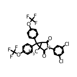 CC12C(=O)N(c3cc(Cl)cc(Cl)c3)C(=O)C1C2(c1ccc(OC(F)(F)F)cc1)c1ccc(OC(F)(F)F)cc1